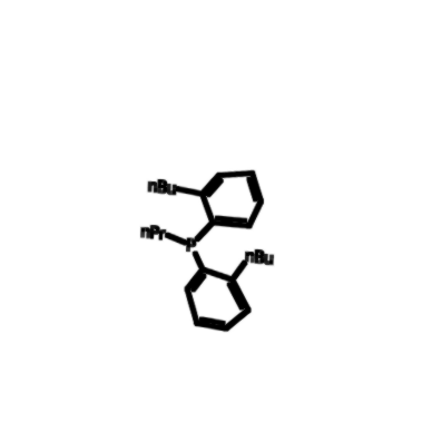 CCCCc1ccccc1P(CCC)c1ccccc1CCCC